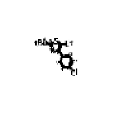 CCc1sc(C(C)(C)C)nc1-c1ccc(Cl)cc1